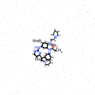 C=CC(=O)Nc1cc(Nc2ncc(C)c(-c3cn4c5c(cccc35)CCC4)n2)c(OC)cc1N(C)CCN1CCCC1